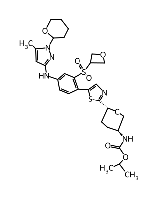 Cc1cc(Nc2ccc(-c3cnc([C@H]4CC[C@H](NC(=O)OC(C)C)CC4)s3)c(S(=O)(=O)C3COC3)c2)nn1C1CCCCO1